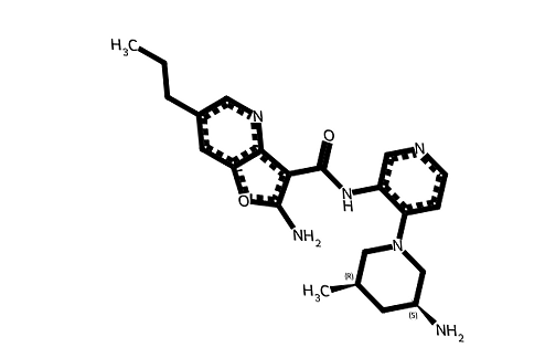 CCCc1cnc2c(C(=O)Nc3cnccc3N3C[C@H](C)C[C@H](N)C3)c(N)oc2c1